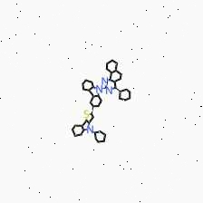 c1ccc(-c2nc(-n3c4ccccc4c4cc(-c5cc6c(s5)c5ccccc5n6-c5ccccc5)ccc43)nc3c2ccc2ccccc23)cc1